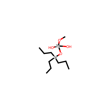 CCC[Si](CCC)(CCC)[O][Zr]([OH])([OH])[O]C